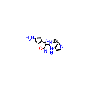 CC(C)(C)n1nc(-c2ccc(N)cc2)c(C(N)=O)c1Nc1ccncc1